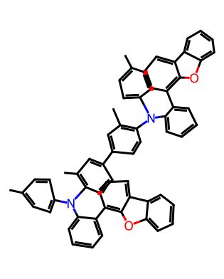 Cc1ccc(N(c2ccc(-c3ccc(N(c4ccc(C)cc4)c4ccccc4-c4cccc5c4oc4ccccc45)c(C)c3)cc2C)c2ccccc2-c2cccc3c2oc2ccccc23)cc1